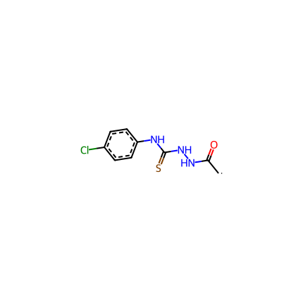 [CH2]C(=O)NNC(=S)Nc1ccc(Cl)cc1